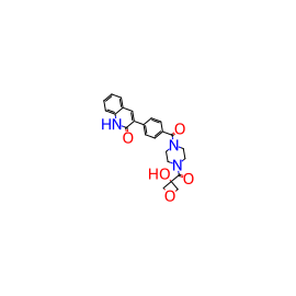 O=C(c1ccc(-c2cc3ccccc3[nH]c2=O)cc1)N1CCN(C(=O)C2(O)COC2)CC1